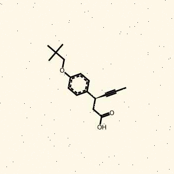 CC#C[C@@H](CC(=O)O)c1ccc(OCC(C)(C)C)cc1